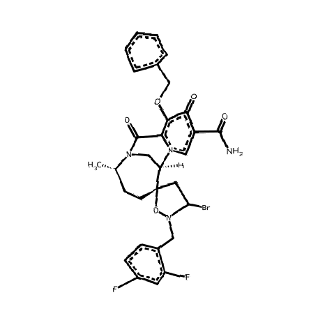 C[C@H]1CC[C@]2(CC(Br)N(Cc3ccc(F)cc3F)O2)[C@H]2CN1C(=O)c1c(OCc3ccccc3)c(=O)c(C(N)=O)cn12